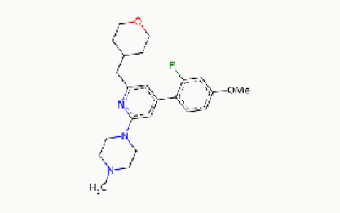 COc1ccc(-c2cc(CC3CCOCC3)nc(N3CCN(C)CC3)c2)c(F)c1